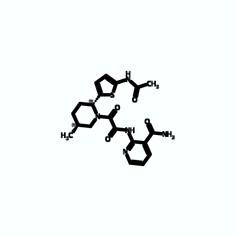 CC(=O)Nc1ccc([C@H]2CC[C@H](C)CN2C(=O)C(=O)Nc2ncccc2C(N)=O)s1